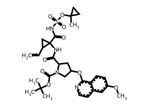 C=CC1CC1(NC(=O)C1CC(Oc2nccc3cc(OC)ccc23)CN1C(=O)OC(C)(C)C)C(=O)NS(=O)(=O)OC1(C)CC1